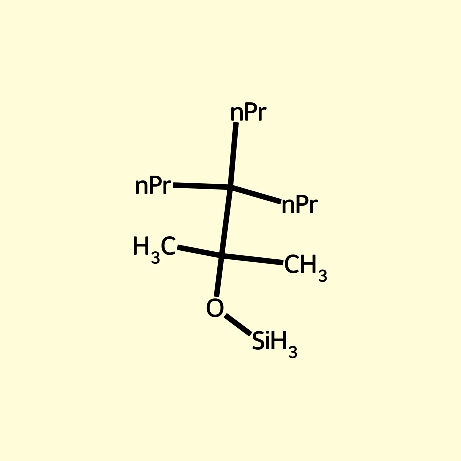 CCCC(CCC)(CCC)C(C)(C)O[SiH3]